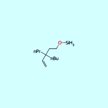 C=CC(CCC)(CCCC)CCO[SiH3]